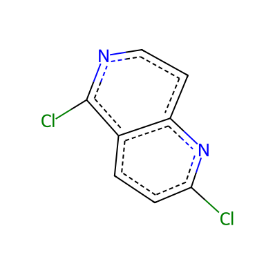 Clc1ccc2c(Cl)nccc2n1